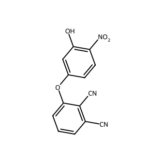 N#Cc1cccc(Oc2ccc([N+](=O)[O-])c(O)c2)c1C#N